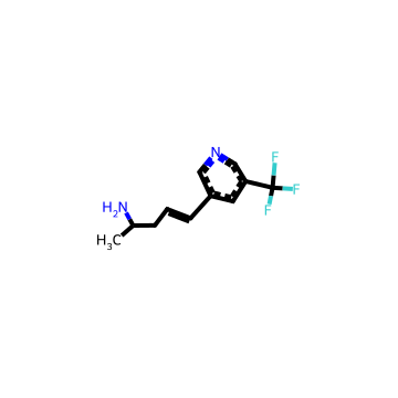 CC(N)CC=Cc1cncc(C(F)(F)F)c1